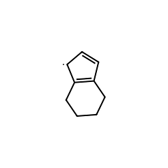 [CH]1C=CC2=C1CCCC2